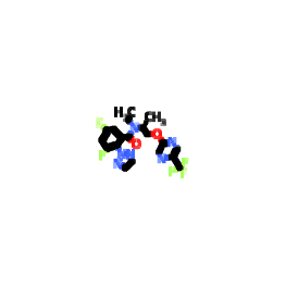 CCN(C(=O)c1cc(F)cc(F)c1-n1nccn1)[C@@H](C)COc1cnc(C(F)(F)F)cn1